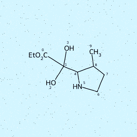 CCOC(=O)C(O)(O)C1NCCC1C